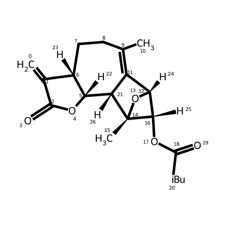 C=C1C(=O)O[C@@H]2[C@H]1CCC(C)=C1[C@H]3O[C@](C)([C@H]3OC(=O)C(C)CC)[C@@H]12